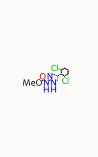 COC(=O)NC1=NCC(c2c(Cl)cccc2Cl)CN1